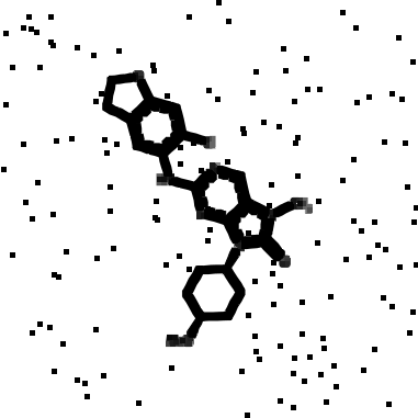 CO[C@H]1CC[C@@H](n2c(=O)n(C)c3cnc(Nc4cc5c(cc4Cl)OCC5)nc32)CC1